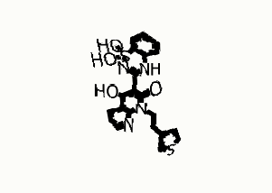 O=c1c(C2=NS(O)(O)c3ccccc3N2)c(O)c2cccnc2n1CCc1ccsc1